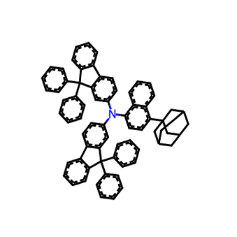 c1ccc(C2(c3ccccc3)c3ccccc3-c3ccc(N(c4ccc5c(c4)C(c4ccccc4)(c4ccccc4)c4ccccc4-5)c4ccc(C56CC7CC(CC(C7)C5)C6)c5ccccc45)cc32)cc1